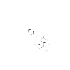 CCC(O)(C(=O)O)[C@@H]1OC(=O)c2cc(OC)c(OCc3ccccc3)cc21